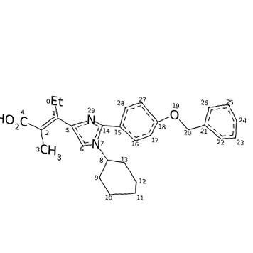 CCC(=C(C)C(=O)O)c1cn(C2CCCCC2)c(-c2ccc(OCc3ccccc3)cc2)n1